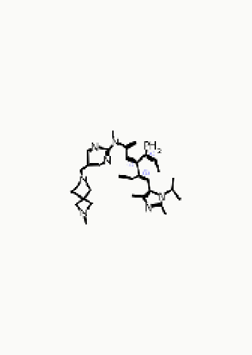 C=CC(=C\c1c(C)nc(C)n1C(C)C)/C(=C/C(=C)N(I)c1ncc(CN2CC3(CN(C)C3)C2)cn1)C(/P)=C\C